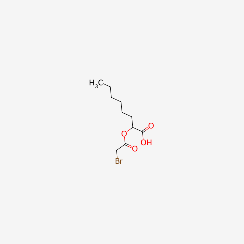 CCCCCCC(OC(=O)CBr)C(=O)O